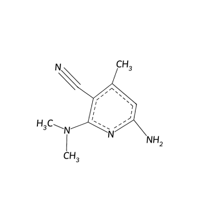 Cc1cc(N)nc(N(C)C)c1C#N